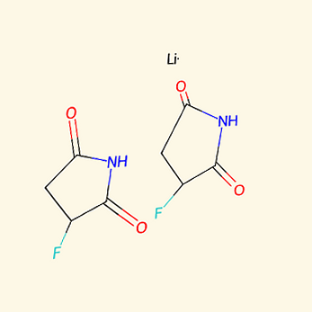 O=C1CC(F)C(=O)N1.O=C1CC(F)C(=O)N1.[Li]